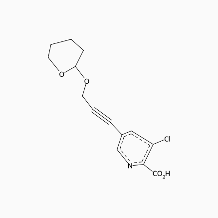 O=C(O)c1ncc(C#CCOC2CCCCO2)cc1Cl